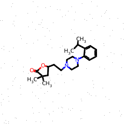 CC(C)c1ccccc1N1CCN(CCC2CC(C)(C)C(=O)O2)CC1